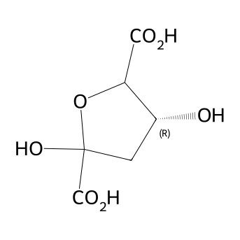 O=C(O)C1OC(O)(C(=O)O)C[C@H]1O